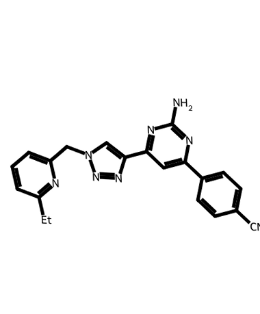 CCc1cccc(Cn2cc(-c3cc(-c4ccc(C#N)cc4)nc(N)n3)nn2)n1